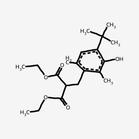 CCOC(=O)C(Cc1c(C)cc(C(C)(C)C)c(O)c1C)C(=O)OCC